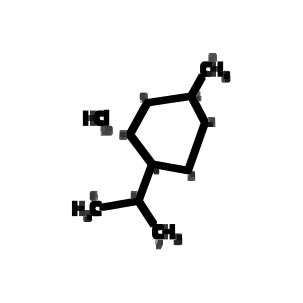 CC1CCC(C(C)C)CC1.Cl